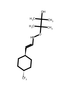 CC(C)(O)C(C)(C)OB/C=C/[C@H]1CC[C@H](C(F)(F)F)CC1